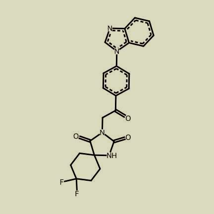 O=C(CN1C(=O)NC2(CCC(F)(F)CC2)C1=O)c1ccc(-n2cnc3ccccc32)cc1